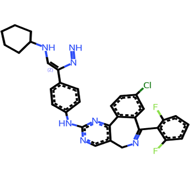 N=N/C(=C\NC1CCCCC1)c1ccc(Nc2ncc3c(n2)-c2ccc(Cl)cc2C(c2c(F)cccc2F)=NC3)cc1